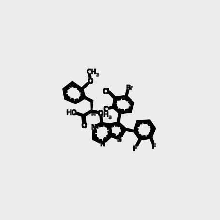 COc1ccccc1C[C@@H](Oc1ncnc2sc(-c3cccc(F)c3F)c(-c3ccc(Br)c(Cl)c3C)c12)C(=O)O